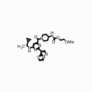 COCCOC(=O)NC1CCN(C(=O)c2cc(N[C@H](C)C3CC3)nc(-c3cnn4ccsc34)n2)CC1